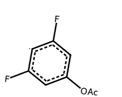 CC(=O)Oc1cc(F)[c]c(F)c1